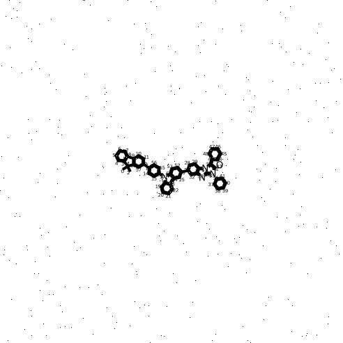 CC1(C)c2ccccc2-c2ccc(-c3ccc(-n4c5ccccc5c5cc(-c6ccc7c(c6)nc6n(-c8ccccc8)c8oc9ccccc9c8n76)ccc54)cc3)cc21